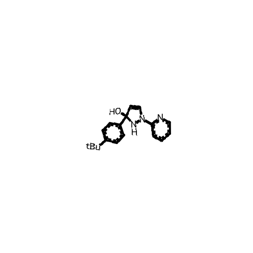 CC(C)(C)c1ccc(C2(O)C=CN(c3ccccn3)N2)cc1